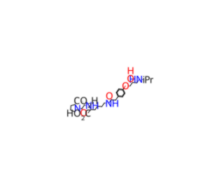 CC(C)NCC(O)COc1ccc(CC(=O)NCCCCC(N[C@@H](C)C(=O)N2CCC[C@H]2C(=O)O)C(=O)O)cc1